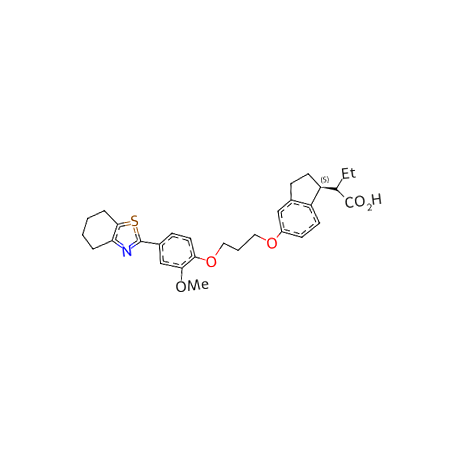 CCC(C(=O)O)[C@@H]1CCc2cc(OCCCOc3ccc(-c4nc5c(s4)CCCC5)cc3OC)ccc21